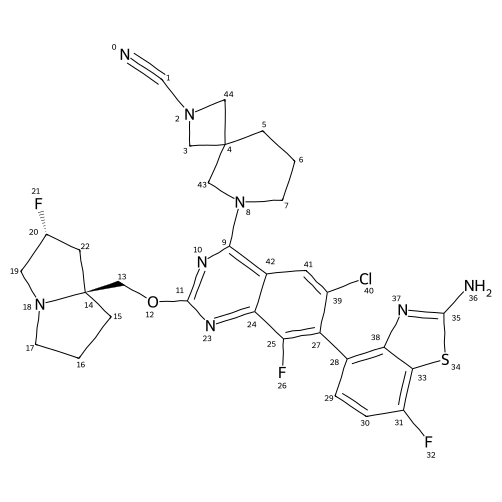 N#CN1CC2(CCCN(c3nc(OC[C@@]45CCCN4C[C@H](F)C5)nc4c(F)c(-c5ccc(F)c6sc(N)nc56)c(Cl)cc34)C2)C1